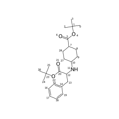 CC(C)(C)OC(=O)C1CCC(NC(Cc2ccccc2)C(=O)OC(C)(C)C)CC1